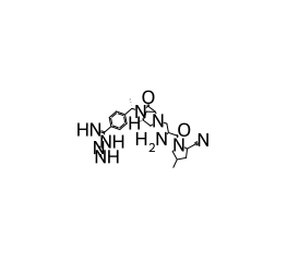 CC1CC(C#N)N(C(=O)C(N)CN2C[C@@H]3CC2C(=O)N3[C@@H](C)c2ccc(C(=N)NN=N)cc2)C1